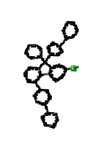 Brc1ccc2c(c1)C(c1ccccc1)(c1ccc(-c3ccccc3)cc1)c1cccc(-c3ccc(-c4ccccc4)cc3)c1-2